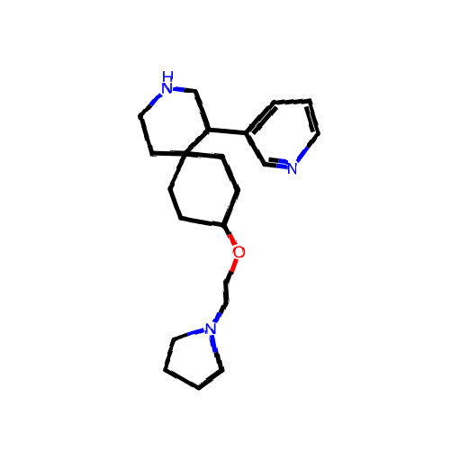 c1cncc(C2CNCCC23CCC(OCCN2CCCC2)CC3)c1